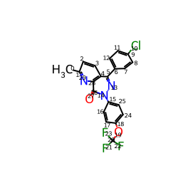 Cc1ccc2c(-c3ccc(Cl)cc3)nn(-c3ccc(OC(F)(F)F)cc3)c(=O)c2n1